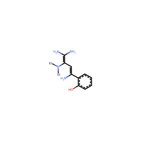 CCN(CC)C(/C=C(\N)c1ccccc1O)=C(N)N